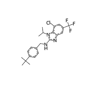 CC(C)n1c(NCc2ccc(C(C)(C)C)cc2)nc2cc(C(F)(F)F)cc(Cl)c21